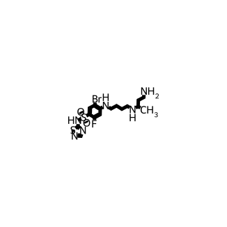 CC(CCN)NCCCCNc1cc(F)c(S(=O)(=O)Nc2ncns2)cc1Br